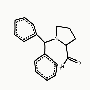 NC(=O)C1CCCN1C(c1ccccc1)c1ccccc1